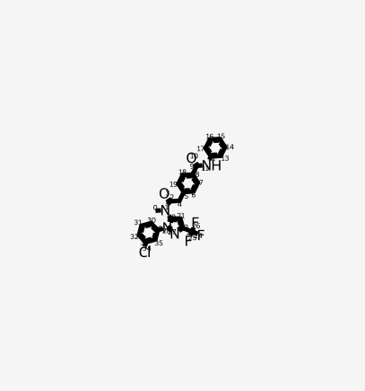 CN(C(=O)Cc1ccc(C(=O)Nc2ccccc2)cc1)c1cc(C(F)(F)F)nn1-c1cccc(Cl)c1